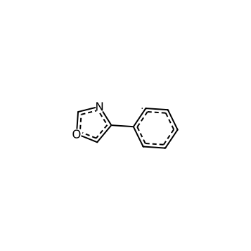 [c]1ccccc1-c1cocn1